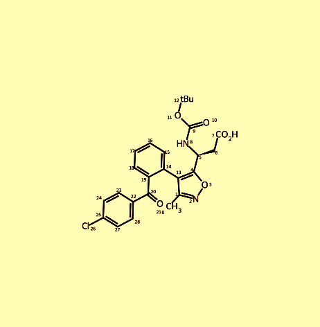 Cc1noc([C@H](CC(=O)O)NC(=O)OC(C)(C)C)c1-c1ccccc1C(=O)c1ccc(Cl)cc1